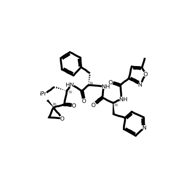 Cc1cc(C(=O)N[C@@H](Cc2ccncc2)C(=O)N[C@@H](Cc2ccccc2)C(=O)N[C@@H](CC(C)C)C(=O)[C@@]2(C)CO2)no1